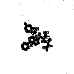 CN[C@@H](C)C(=O)N[C@H](C(=O)N1CC[C@@H]2[C@H]1[C@@H](c1c[nH]c3cc(C)ccc13)CN2c1ncccn1)[C@@H](C)O